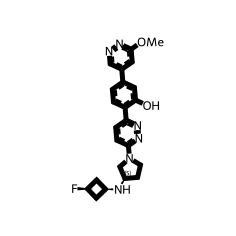 COc1cc(-c2ccc(-c3ccc(N4CC[C@H](N[C@H]5C[C@H](F)C5)C4)nn3)c(O)c2)cnn1